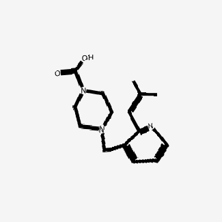 CC(C)=Cc1ncccc1CN1CCN(C(=O)O)CC1